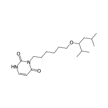 CC(C)CC(OCCCCCCn1c(=O)cc[nH]c1=O)C(C)C